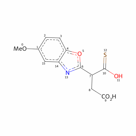 COc1ccc2oc(C(CC(=O)O)C(O)=S)nc2c1